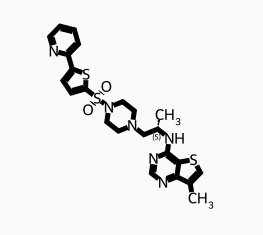 Cc1csc2c(N[C@@H](C)CN3CCN(S(=O)(=O)c4ccc(-c5ccccn5)s4)CC3)ncnc12